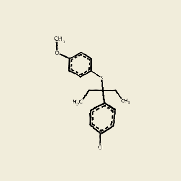 CCC(CC)(Sc1ccc(OC)cc1)c1ccc(Cl)cc1